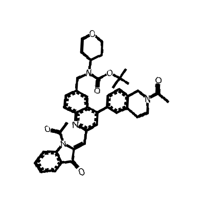 CC(=O)N1CCc2cc(-c3cc(/C=C4/C(=O)c5ccccc5N4C(C)=O)nc4ccc(CN(C(=O)OC(C)(C)C)C5CCOCC5)cc34)ccc2C1